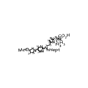 CCCCCCCN(CCc1csc(SC(C)(C)C(=O)O)n1)c1ncc(N2CCC(OC)C2)cn1